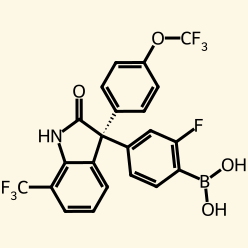 O=C1Nc2c(C(F)(F)F)cccc2[C@]1(c1ccc(OC(F)(F)F)cc1)c1ccc(B(O)O)c(F)c1